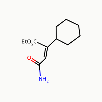 CCOC(=O)/C(=C\C(N)=O)C1CCCCC1